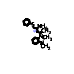 C=Nc1ccccc1N(C)C(=C)/C=C(\N)CSc1ccccc1